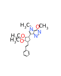 CCn1cc(C2CC(/C=C/c3ccccc3)C3OC(C)(C)OC23)c2ncnc(OC)c21